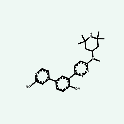 CN(c1ccc(-c2cc(-c3ccnc(O)c3)ccc2O)nn1)C1CC(C)(C)NC(C)(C)C1